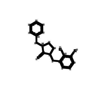 O=C1C(Cc2cccc(Cl)c2Cl)CCN1Cc1ccccc1